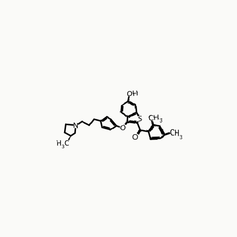 Cc1ccc(C(=O)c2sc3cc(O)ccc3c2Oc2ccc(CCCN3CC[C@H](C)C3)cc2)c(C)c1